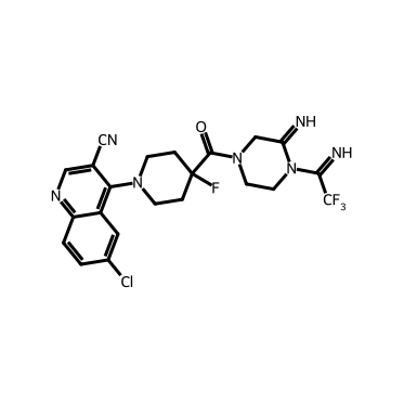 N#Cc1cnc2ccc(Cl)cc2c1N1CCC(F)(C(=O)N2CCN(C(=N)C(F)(F)F)C(=N)C2)CC1